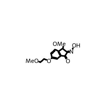 COCCOc1ccc2c(c1)C(=O)C(=NO)C2OC